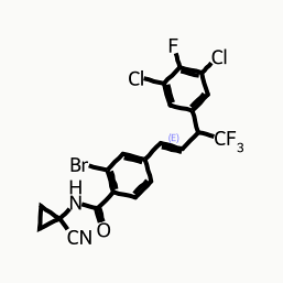 N#CC1(NC(=O)c2ccc(/C=C/C(c3cc(Cl)c(F)c(Cl)c3)C(F)(F)F)cc2Br)CC1